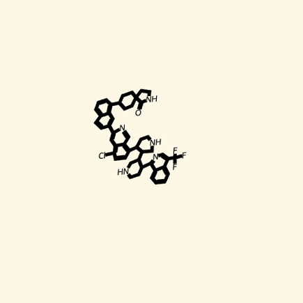 O=C1NCCC12CCC(c1cccc3ccc(-c4cc5c(Cl)ccc(C6CCNCC6C6CNCCC6c6ncc(C(F)(F)F)c7ccccc67)c5cn4)cc13)CC2